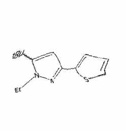 CCn1nc(-c2cccs2)cc1C(C)(C)C